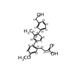 COc1ccc(-c2ccc(-c3cccc(CO)c3)c(C)c2)c(CCC(=O)O)c1